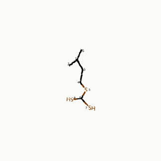 CC(C)CCSC(S)S